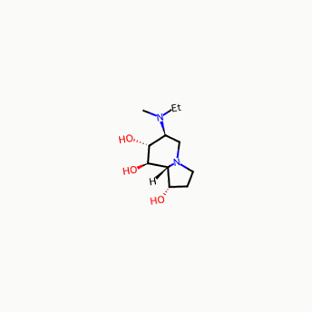 CCN(C)[C@H]1CN2CC[C@H](O)[C@@H]2[C@@H](O)[C@@H]1O